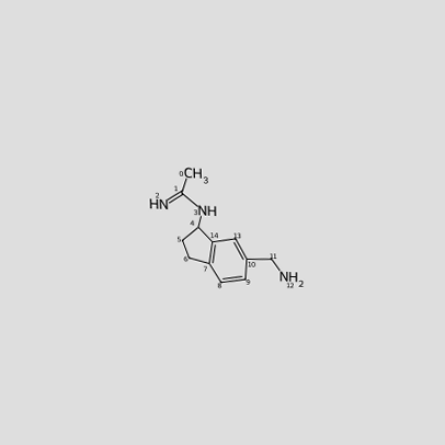 CC(=N)NC1CCc2ccc(CN)cc21